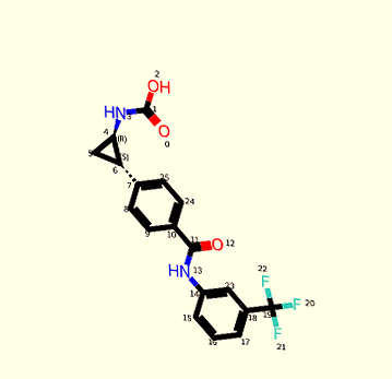 O=C(O)N[C@@H]1C[C@H]1c1ccc(C(=O)Nc2cccc(C(F)(F)F)c2)cc1